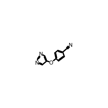 N#Cc1ccc(Oc2cncnc2)cc1